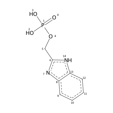 O=P(O)(O)OCc1nc2ccccc2[nH]1